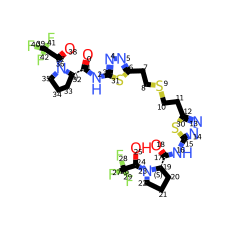 O=C(Nc1nnc(CCSCCc2nnc(NC(=O)[C@@H]3CCCN3C(O)C(F)(F)F)s2)s1)[C@@H]1CCCN1C(=O)C(F)(F)F